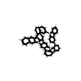 c1ccc(-n2c3ccccc3c3cc(-c4cccc5c6cccc7c8cc9c(cc8n(c45)c76)c4cc5ccccc5c5c6cc7ccccc7cc6n9c45)ccc32)cc1